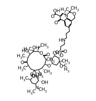 CC[C@H]1OC(=O)[C@H](C)[C@@H](O[C@H]2C[C@@](C)(OC)[C@@H](OS(=O)(=O)CCNCCCc3cc4c5c(c3)c(=O)c(C(=O)O)cn5C(C)(C)OC4)[C@H](C)O2)[C@H](C)[C@@H](O[C@@H]2O[C@H](C)C[C@H](N(C)C)[C@H]2O)[C@](C)(OC)C[C@@H](C)C(=O)[C@H](C)[C@@H](O)[C@]1(C)O